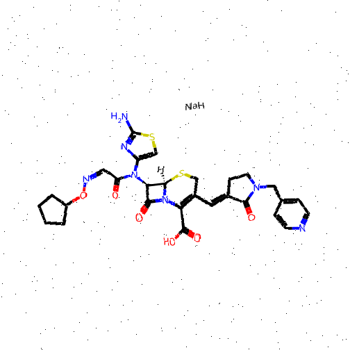 Nc1nc(N(C(=O)/C=N\OC2CCCC2)[C@@H]2C(=O)N3C(C(=O)O)=C(/C=C4\CCN(Cc5ccncc5)C4=O)CS[C@H]23)cs1.[NaH]